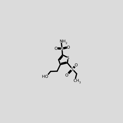 CCS(=O)(=O)c1sc(S(N)(=O)=O)cc1CCO